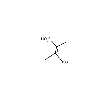 C/C(C(=O)O)=C(/C)C(C)(C)C